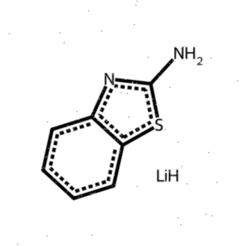 Nc1nc2ccccc2s1.[LiH]